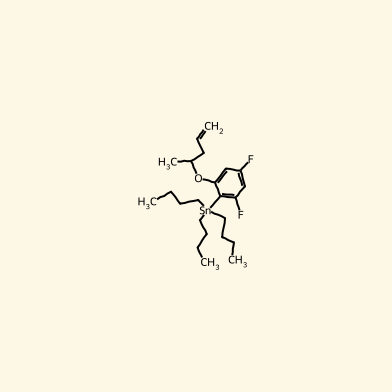 C=CCC(C)Oc1cc(F)cc(F)[c]1[Sn]([CH2]CCC)([CH2]CCC)[CH2]CCC